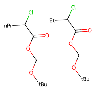 CCC(Cl)C(=O)OCOC(C)(C)C.CCCC(Cl)C(=O)OCOC(C)(C)C